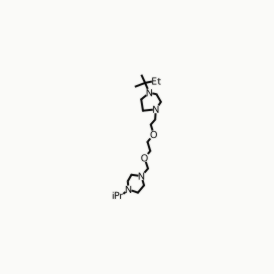 CCC(C)(C)N1CCN(CCOCCOCN2CCN(C(C)C)CC2)CC1